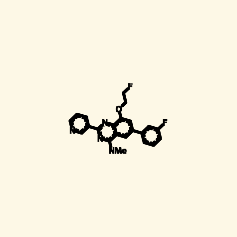 CNc1nc(-c2cccnc2)nc2c(OCCF)cc(-c3cccc(F)c3)cc12